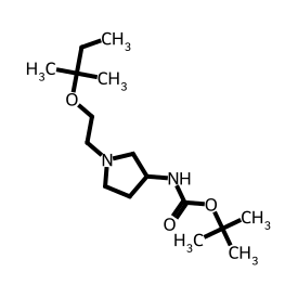 CCC(C)(C)OCCN1CCC(NC(=O)OC(C)(C)C)C1